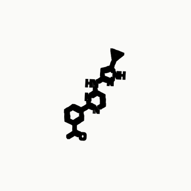 CC(=O)c1cccc(-c2nccc(Nc3cc(C4CC4)[nH]n3)n2)c1